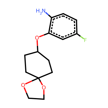 Nc1ccc(F)cc1OC1CCC2(CC1)OCCO2